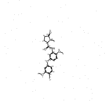 COc1cc(Oc2ccc(OC)c(NC(=O)C3CCC(=O)N3C)c2)ccc1F